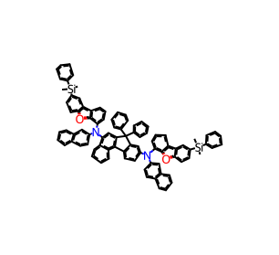 C[Si](C)(c1ccccc1)c1ccc2oc3c(N(c4ccc5c(c4)C(c4ccccc4)(c4ccccc4)c4cc(N(c6ccc7ccccc7c6)c6cccc7c6oc6ccc([Si](C)(C)c8ccccc8)cc67)c6ccccc6c4-5)c4ccc5ccccc5c4)cccc3c2c1